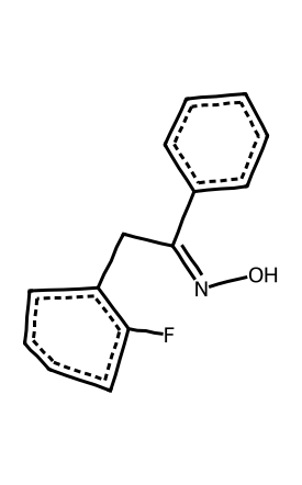 ON=C(Cc1ccccc1F)c1ccccc1